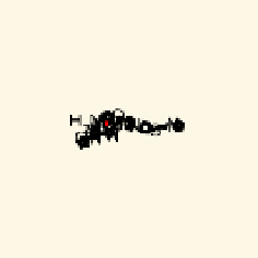 C[C@@](C(=O)N1CCN(c2ccc(OCCCN3CCCC3)cc2)CC1)(c1ccccc1)n1ncc2c1nc(N)n1nc(-c3ccco3)nc21